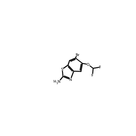 Nc1nc2cc(OC(F)F)c(Br)cc2s1